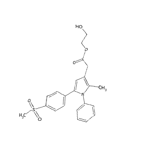 Cc1c(CC(=O)OCCO)cc(-c2ccc(S(C)(=O)=O)cc2)n1-c1ccccc1